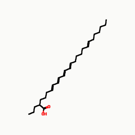 CCCCCCC=CCCCCC=CC=CC=CC=CCCCC(CCC)C(=O)O